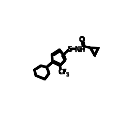 O=C(NSc1ccc(C2CCCCC2)c(C(F)(F)F)c1)C1CC1